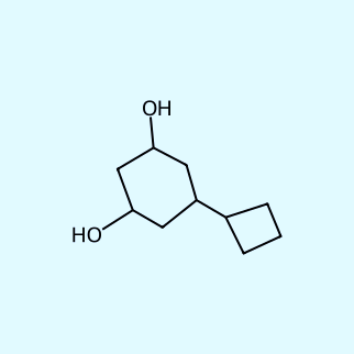 OC1CC(O)CC(C2CCC2)C1